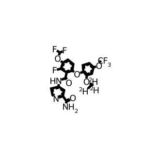 [2H]C([2H])([2H])Oc1cc(OC(F)(F)F)ccc1Oc1ccc(OC(F)F)c(F)c1C(=O)Nc1ccnc(C(N)=O)c1